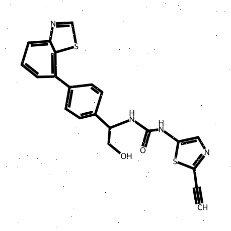 C#Cc1ncc(NC(=O)NC(CO)c2ccc(-c3cccc4ncsc34)cc2)s1